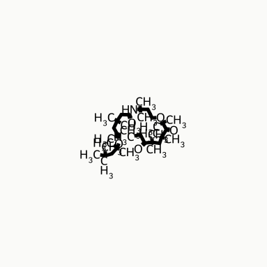 CCC(=O)C(C)(C)CC(C)(C)C(=O)C(C)(C)OCCC(C)(C)NC(=O)CC(C)(C)CC(C)(C)OC(C)(C)CC(C)(C)C